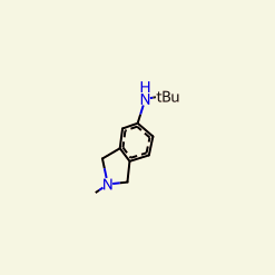 CN1Cc2ccc(NC(C)(C)C)cc2C1